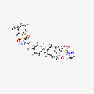 CCCNS(=O)(=O)C(C)(C)c1ccc(-c2ccc(CCNS(=O)(=O)c3cccc(C(F)(F)F)c3)cc2)cc1